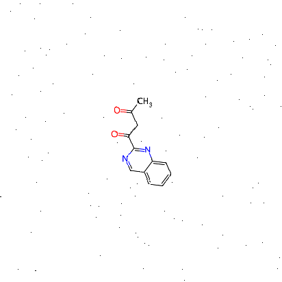 CC(=O)CC(=O)c1ncc2ccccc2n1